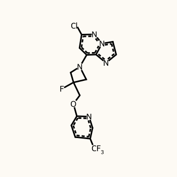 FC1(COc2ccc(C(F)(F)F)cn2)CN(c2cc(Cl)nn3ccnc23)C1